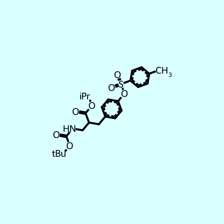 Cc1ccc(S(=O)(=O)Oc2ccc(CC(CNC(=O)OC(C)(C)C)C(=O)OC(C)C)cc2)cc1